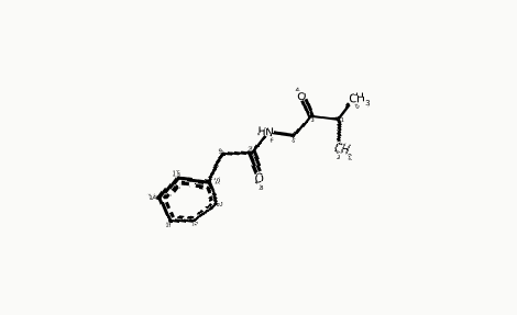 CC(C)C(=O)CNC(=O)Cc1ccccc1